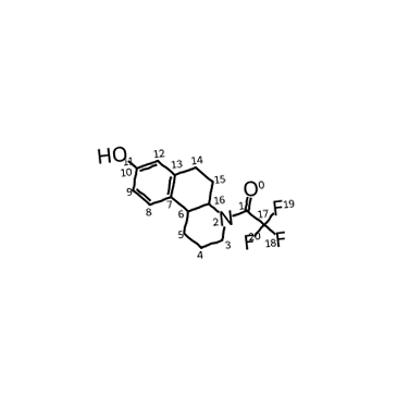 O=C(N1CCCC2c3ccc(O)cc3CCC21)C(F)(F)F